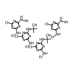 CCNc1nc(Cl)nc(NC(C)(C)C#N)n1.CCNc1nc(Cl)nc(NC(C)(C)C#N)n1.CCNc1nc(Cl)nc(NC(C)C)n1.CCNc1nc(Cl)nc(NC(C)C)n1